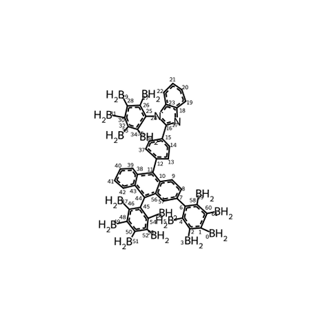 Bc1c(B)c(B)c(-c2ccc3c(-c4ccc(-c5nc6ccccc6n5-c5c(B)c(B)c(B)c(B)c5B)cc4)c4ccccc4c(-c4c(B)c(B)c(B)c(B)c4B)c3c2)c(B)c1B